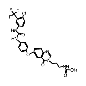 O=C(O)NCCCn1cnc2ccc(Oc3ccc(NC(=O)Nc4ccc(Cl)c(C(F)(F)F)c4)cc3)cc2c1=O